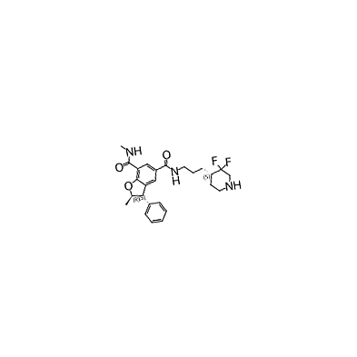 CNC(=O)c1cc(C(=O)NCCC[C@H]2CCNCC2(F)F)cc2c1O[C@H](C)[C@H]2c1ccccc1